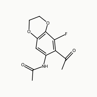 CC(=O)Nc1cc2c(c(F)c1C(C)=O)OCCO2